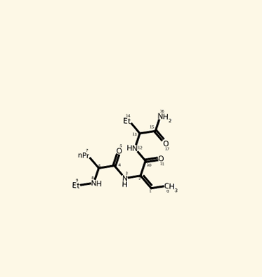 C/C=C(/NC(=O)C(CCC)NCC)C(=O)NC(CC)C(N)=O